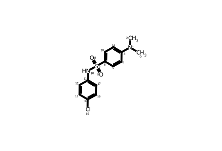 CN(C)c1ccc(S(=O)(=O)Nc2[c]cc(Cl)cc2)cc1